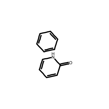 O=c1cccc[nH]1.c1ccccc1